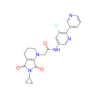 O=C(CN1CCCC2=C1C(=O)N(C1CC1)C2=O)Nc1cnc(-c2cccnc2)c(F)c1